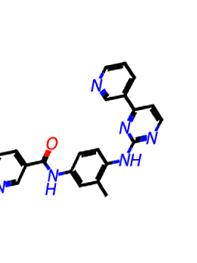 Cc1cc(NC(=O)c2cccnc2)ccc1Nc1nccc(-c2cccnc2)n1